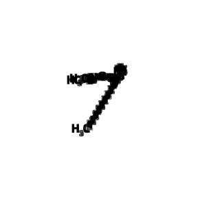 CCCCCCCCCCCCCCCCCCOCC(COCCOCCN1C=CN(C)C1)Oc1ncccn1.Cl